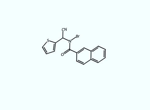 N#CC(c1cccs1)N(Br)C(=O)c1ccc2ccccc2c1